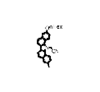 CCCCCCOc1ccc2c(ccc3c4ccc5cc(C)ccc5c4n(CC#N)c23)c1